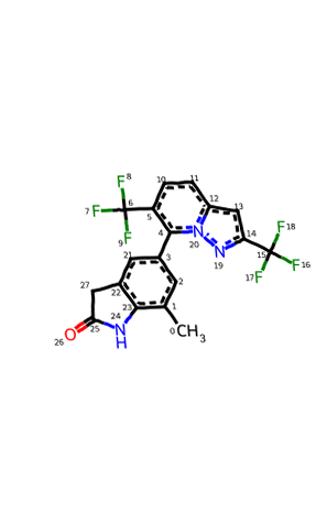 Cc1cc(-c2c(C(F)(F)F)ccc3cc(C(F)(F)F)nn23)cc2c1NC(=O)C2